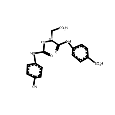 N#Cc1ccc(NC(=O)N[C@@H](CC(=O)O)C(=O)Nc2ccc(S(=O)(=O)O)cc2)cc1